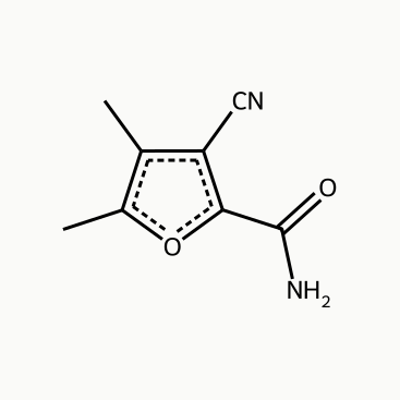 Cc1oc(C(N)=O)c(C#N)c1C